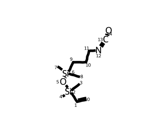 C=C[Si](C)(C)O[Si](C)(C)CCCN=C=O